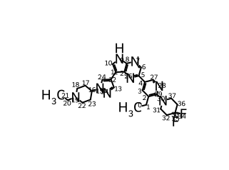 CCc1cc(-c2cnc3[nH]cc(-c4cnn(C5CCN(CC)CC5)c4)c3n2)cnc1N1CCC(F)(F)CC1